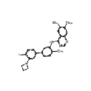 CCC(C)c1cc2c(Nc3cc(-c4ccc(F)c(N5CCC5)c4)ccc3OC)ncnc2cc1OC